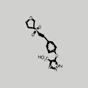 O=C(O)c1nn[nH]c1Oc1ccc(C#CS(=O)(=O)C2CCOC2)cc1